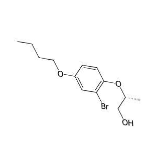 CCCCOc1ccc(O[C@H](C)CO)c(Br)c1